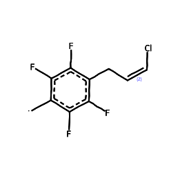 [CH2]c1c(F)c(F)c(C/C=C\Cl)c(F)c1F